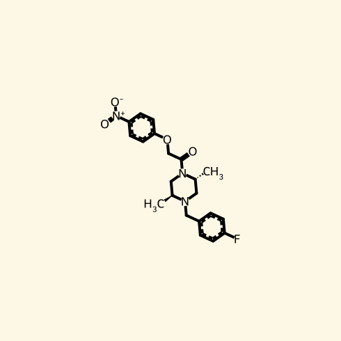 C[C@@H]1CN(Cc2ccc(F)cc2)[C@@H](C)CN1C(=O)COc1ccc([N+](=O)[O-])cc1